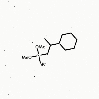 CCC[Si](CC(C)C1CCCCC1)(OC)OC